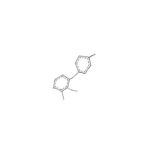 Cc1ccc(-c2cc[c]c(C)c2C)cc1